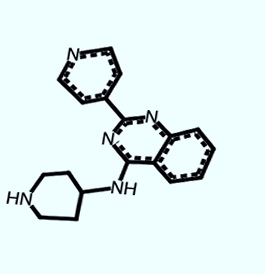 c1ccc2c(NC3CCNCC3)nc(-c3ccncc3)nc2c1